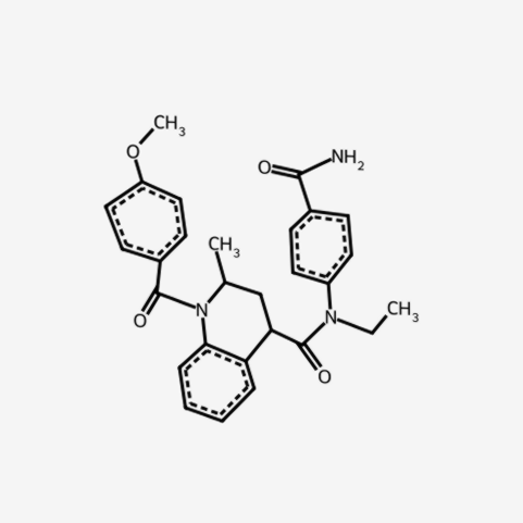 CCN(C(=O)C1CC(C)N(C(=O)c2ccc(OC)cc2)c2ccccc21)c1ccc(C(N)=O)cc1